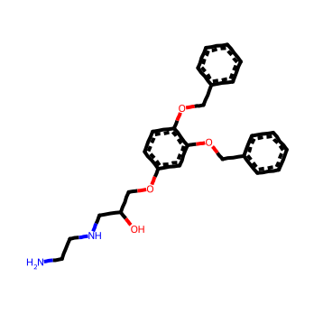 NCCNCC(O)COc1ccc(OCc2ccccc2)c(OCc2ccccc2)c1